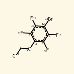 Fc1c(F)c(OCCl)c(F)c(F)c1Br